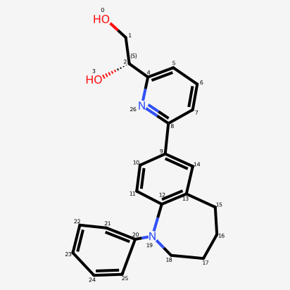 OC[C@@H](O)c1cccc(-c2ccc3c(c2)CCCCN3c2ccccc2)n1